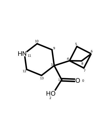 O=C(O)C1(C23CC(C2)C3)CCNCC1